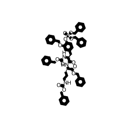 O=C(NCCC[C@H](NC(=O)[C@H](Cc1ccc(OP(=O)(OCc2ccccc2)OCc2ccccc2)c(OCc2ccccc2)c1)NC(=O)OCc1ccccc1)C(=O)OCc1ccccc1)OCc1ccccc1